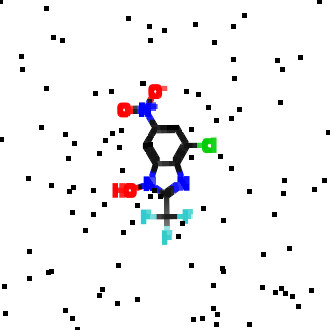 O=[N+]([O-])c1cc(Cl)c2nc(C(F)(F)F)n(O)c2c1